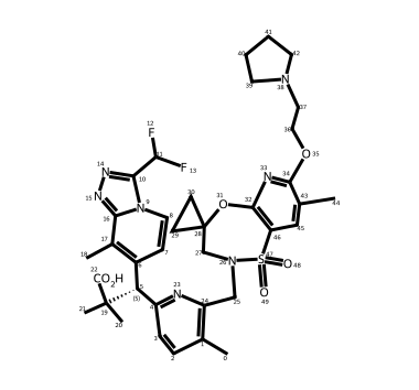 Cc1ccc([C@@H](c2ccn3c(C(F)F)nnc3c2C)C(C)(C)C(=O)O)nc1CN1CC2(CC2)Oc2nc(OCCN3CCCC3)c(C)cc2S1(=O)=O